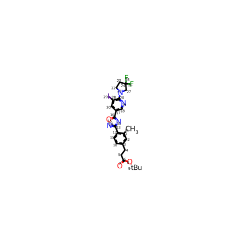 Cc1cc(CCC(=O)OC(C)(C)C)ccc1-c1noc(-c2cnc(N3CCC(F)(F)C3)c(I)c2)n1